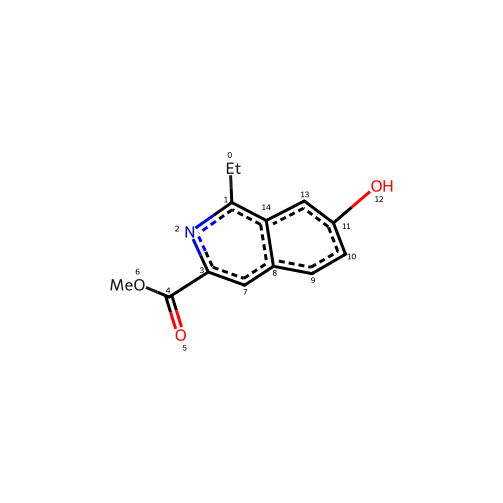 CCc1nc(C(=O)OC)cc2ccc(O)cc12